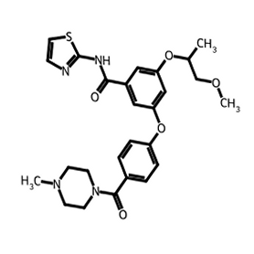 COCC(C)Oc1cc(Oc2ccc(C(=O)N3CCN(C)CC3)cc2)cc(C(=O)Nc2nccs2)c1